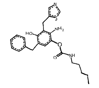 CCCCCNC(=O)Oc1cc(Cc2ccccc2)c(O)c(Cc2cncs2)c1N